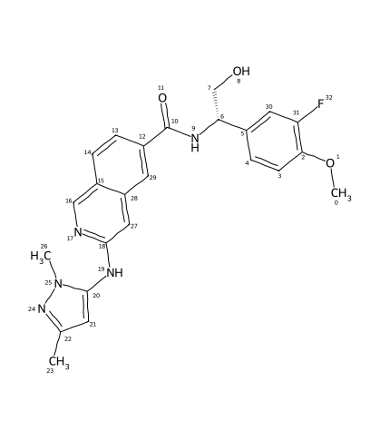 COc1ccc([C@@H](CO)NC(=O)c2ccc3cnc(Nc4cc(C)nn4C)cc3c2)cc1F